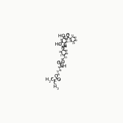 C=C(C)C(=O)OCCCCNC(=O)OCCc1ccc(N=Nc2cc(C(=O)c3ccccc3)c(O)cc2O)cc1